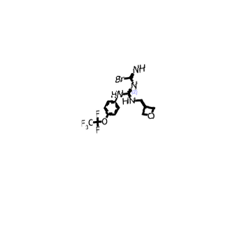 N=C(Br)/N=C(/NCC1COC1)Nc1ccc(OC(F)(F)C(F)(F)F)cc1